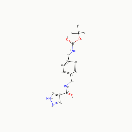 CC(C)(C)OC(=O)NCc1ccc(CNC(=O)c2cn[nH]c2)cc1